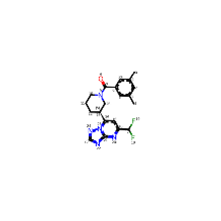 Cc1cc(C)cc(C(=O)N2CCC[C@H](c3cc(C(F)F)nc4ncnn34)C2)c1